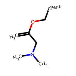 C=C(CN(C)C)OCCCCCC